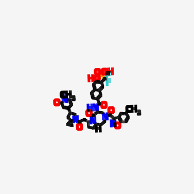 Cc1ccc2onc(C(=O)N3CC[C@H]4CC[C@@H](CC(=O)N5C[C@H](c6ccn(C)c(=O)c6)CC56CC6)N4C(=O)[C@@H](NC(=O)c4ccc5ccc(C(F)(F)P(=O)(O)O)cc5c4)C3)c2c1